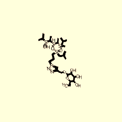 C=C(C)C[Si]1(CCCn2cc(COC3OC(CO)C(O)C(O)C3O)nn2)O[SiH](C(C)[SiH](O)C(C)C)C(C)[Si](C)(C(C)C)O1